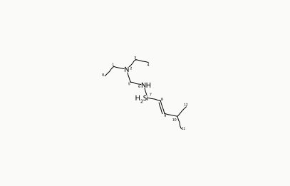 CCN(CC)CN[SiH2]C=CC(C)C